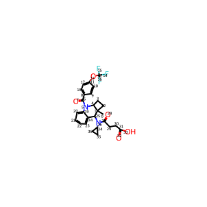 CC12CCC1N(C(=O)c1ccc(OC(F)(F)F)cc1)c1ccccc1C2N(C(=O)CCC(=O)O)C1CC1